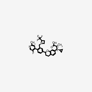 Cc1cc(-c2ccc(C3CCc4ccc([C@H](C5CC5)[C@H](C)C(=O)O)cc4O3)cc2CN2CCC2C(F)(F)F)c(F)cn1